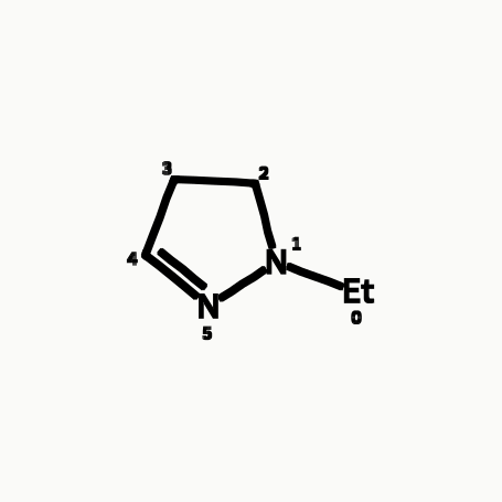 CCN1CCC=N1